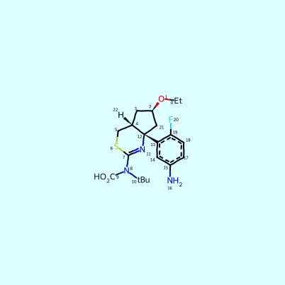 CCO[C@@H]1C[C@H]2CSC(N(C(=O)O)C(C)(C)C)=N[C@@]2(c2cc(N)ccc2F)C1